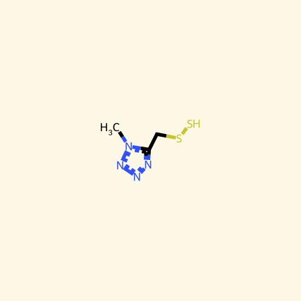 Cn1nnnc1CSS